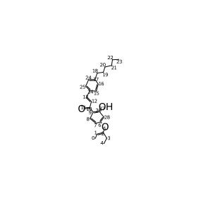 CC=C(CC)Oc1ccc(C(=O)C=Cc2ccc(CCCCCC)cc2)c(O)c1